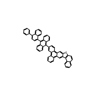 c1ccc(-c2ccc(-c3c4ccccc4c(-c4ccc5c(c4)c4ccccc4c4cc6c(cc54)sc4ccc5ccccc5c46)c4ccccc34)c3ccccc23)cc1